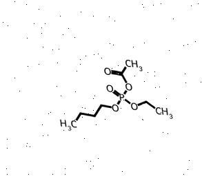 CCCCOP(=O)(OCC)OC(C)=O